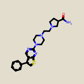 NC(=O)C1CCN(CCN2CCN(c3ncc4c(-c5ccccc5)csc4n3)CC2)C1